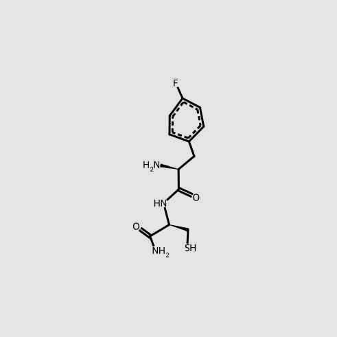 NC(=O)[C@H](CS)NC(=O)[C@@H](N)Cc1ccc(F)cc1